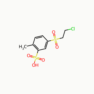 Cc1ccc(S(=O)(=O)CCCl)cc1S(=O)(=O)O